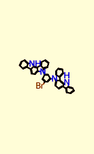 Brc1cc(-n2c3ccccc3c3c4[nH]c5ccccc5c4ccc32)cc(-n2c3ccccc3c3c4[nH]c5ccccc5c4ccc32)c1